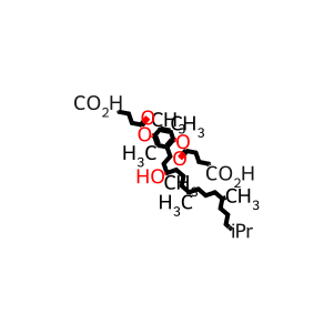 Cc1c(C)c(OC(=O)CCCC(=O)O)c(CCC(C)(O)CCCC(C)CCCC(C)CCCC(C)C)c(C)c1OC(=O)CCCC(=O)O